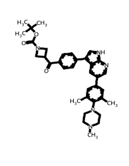 Cc1cc(-c2cnc3[nH]cc(-c4ccc(C(=O)C5CN(C(=O)OC(C)(C)C)C5)cc4)c3c2)cc(C)c1N1CCN(C)CC1